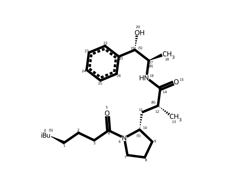 CC[C@H](C)CCCC(=O)N1CCC[C@H]1C[C@@H](C)C(=O)N[C@H](C)[C@@H](O)c1ccccc1